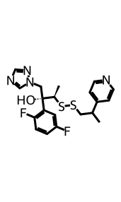 CC(CSS[C@H](C)[C@](O)(Cn1cncn1)c1cc(F)ccc1F)c1ccncc1